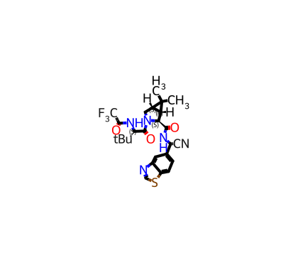 CC(C)(C)[C@H](NC(=O)C(F)(F)F)C(=O)N1C[C@H]2[C@@H]([C@H]1C(=O)NC(C#N)c1ccc3scnc3c1)C2(C)C